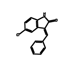 O=C1Nc2ccc(Cl)cc2/C1=C\c1ccccc1